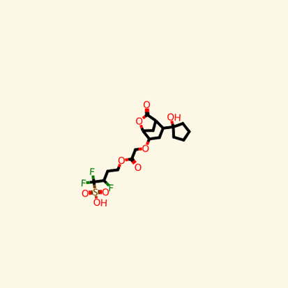 O=C(COC1CC(C2(O)CCCC2)C2CC1OC2=O)OCCC(F)C(F)(F)S(=O)(=O)O